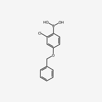 OB(O)c1ccc(OCc2ccccc2)cc1Cl